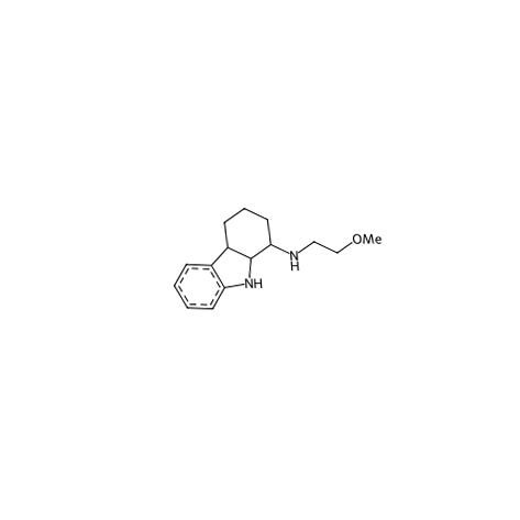 COCCNC1CCCC2c3ccccc3NC12